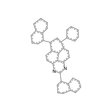 c1ccc(-c2cc(-c3cccc4ccccc34)c3ccc4nc(-c5cccc6ccccc56)nc5ccc2c3c54)cc1